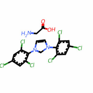 Clc1cc(Cl)c(N2C=CN(c3c(Cl)cc(Cl)cc3Cl)C2)c(Cl)c1.NCC(=O)O